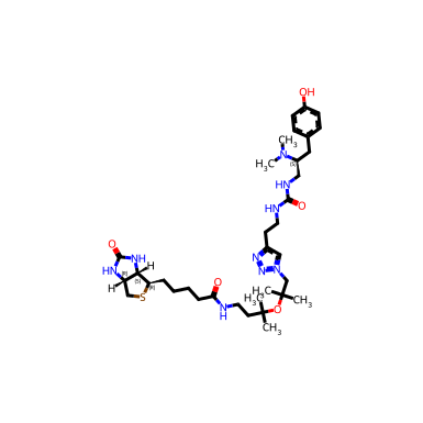 CN(C)[C@H](CNC(=O)NCCc1cn(CC(C)(C)OC(C)(C)CCNC(=O)CCCC[C@H]2SC[C@@H]3NC(=O)N[C@@H]32)nn1)Cc1ccc(O)cc1